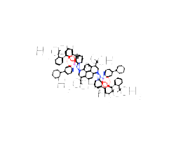 CC(C)c1ccccc1-c1cccc2c1oc1c(N(c3ccc(C4CCCCC4)cc3)c3cc(C(C)C)c4ccc5c(N(c6ccc(C7CCCCC7)cc6)c6cccc7c6oc6c(-c8ccccc8C(C)C)cccc67)cc(C(C)C)c6ccc3c4c65)cccc12